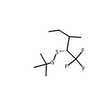 CCC(C)[C@@H](SSC(C)(C)C)C(F)(F)F